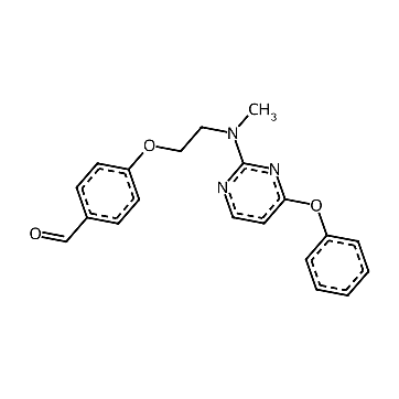 CN(CCOc1ccc(C=O)cc1)c1nccc(Oc2ccccc2)n1